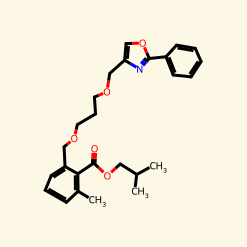 Cc1cccc(COCCCOCc2coc(-c3ccccc3)n2)c1C(=O)OCC(C)C